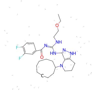 CCOCCN/C(=N/C(=O)c1ccc(F)c(F)c1)Nc1n[nH]c2c1N(C1CCCCCCCC1)CCC2